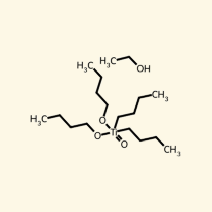 CCCC[O][Ti](=[O])([CH2]CCC)([CH2]CCC)[O]CCCC.CCO